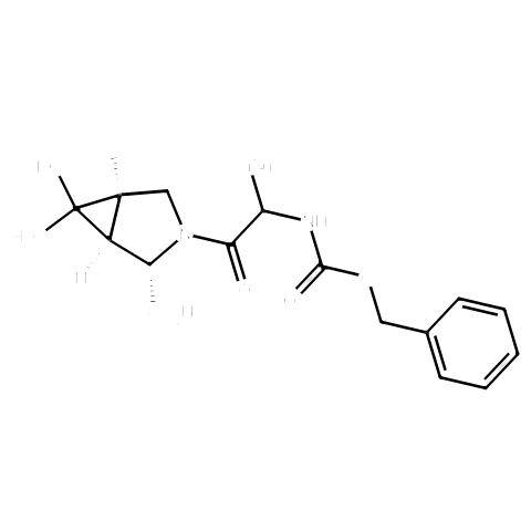 CCC(C)C(NC(=O)OCc1ccccc1)C(=O)N1C[C@H]2[C@@H]([C@H]1C(=O)O)C2(C)C